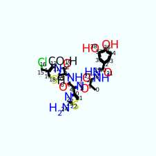 CC(ON=C(C(=O)NC1C(=O)N2C(C(=O)O)=C(CCl)CS[C@@H]12)c1csc(N)n1)C(=O)NNC(=O)c1ccc(O)c(O)c1